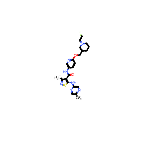 Cc1nsc(Nc2cnc(C(F)(F)F)cn2)c1C(=O)Nc1ccc(OCC2CCCN(CCF)C2)nc1